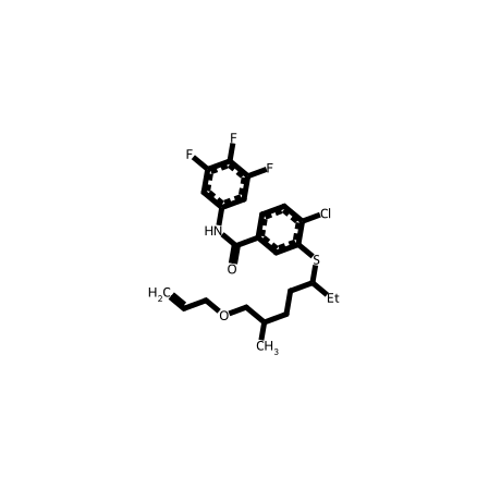 C=CCOCC(C)CCC(CC)Sc1cc(C(=O)Nc2cc(F)c(F)c(F)c2)ccc1Cl